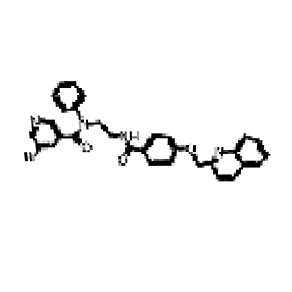 O=C(NCCN(C(=O)c1cncc(Br)c1)c1ccccc1)c1ccc(OCc2ccc3ccccc3n2)cc1